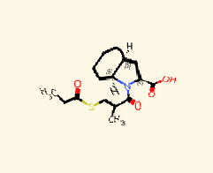 CCC(=O)SCC(C)C(=O)N1[C@H](C(=O)O)C[C@@H]2CCCC[C@@H]21